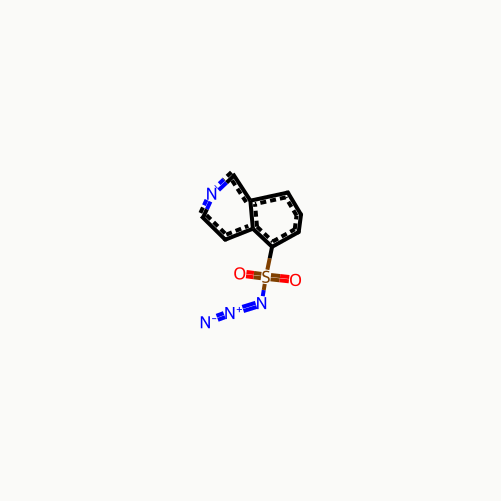 [N-]=[N+]=NS(=O)(=O)c1cccc2cnccc12